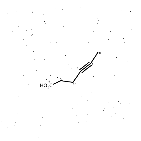 [CH2]C#CCCC(=O)O